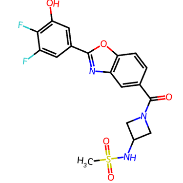 CS(=O)(=O)NC1CN(C(=O)c2ccc3oc(-c4cc(O)c(F)c(F)c4)nc3c2)C1